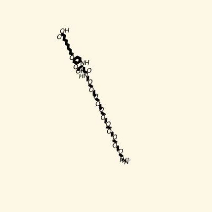 [N-]=[N+]=NCCOCCOCCOCCOCCOCCOCCOCCOCCOCCOCCOCCNC(=O)CC[C@H](Nc1ccc(OCCCCCCCCCC(=O)O)cc1)C(=O)O